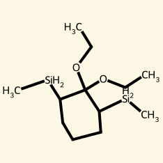 CCOC1(OCC)C([SiH2]C)CCCC1[SiH2]C